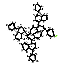 Fc1ccc(-c2cc(-c3ccc(-c4ccccc4)c4ccccc34)c3ccc4c(-c5ccc(-c6ccccc6)c6ccccc56)cc(-c5ccc(-c6ccccc6)c6ccccc56)c5ccc2c3c54)cc1